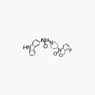 O=C(CN1CCC(N2C(=O)OCc3c(F)cccc32)CC1)Nc1ccc2[nH]c3ccccc3c2c1